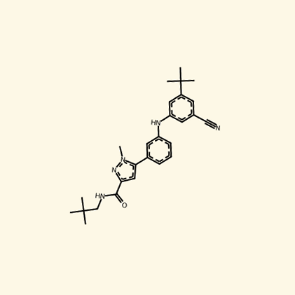 Cn1nc(C(=O)NCC(C)(C)C)cc1-c1cccc(Nc2cc(C#N)cc(C(C)(C)C)c2)c1